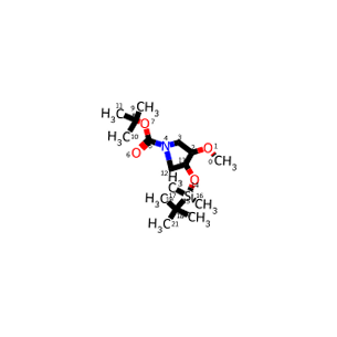 COC1CN(C(=O)OC(C)(C)C)CC1O[Si](C)(C)C(C)(C)C